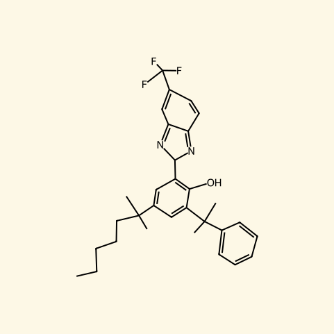 CCCCCC(C)(C)c1cc(C2N=c3ccc(C(F)(F)F)cc3=N2)c(O)c(C(C)(C)c2ccccc2)c1